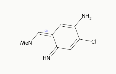 CN/C=C1/C=C(N)C(Cl)=CC1=N